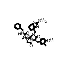 Cc1cc(C[C@H]2C(=O)N(Cc3cccc4sc(N)nc34)C[C@H]3N2C(=O)CN3N(C)C(=O)NCC2=CCCC=C2)ccc1O